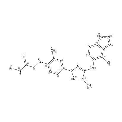 Cc1cc(C2N=C(Nc3ccc4[nH]ncc4c3Cl)N(C)N2)ccc1OCC(=O)NC(C)C